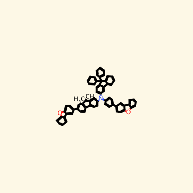 CC1(C)c2cc(-c3ccc4oc5ccccc5c4c3)ccc2-c2ccc(N(c3ccc(-c4ccc5oc6ccccc6c5c4)cc3)c3ccc4c(c3)-c3ccccc3C4(c3ccccc3)c3ccccc3)cc21